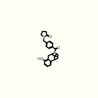 CC1(C)C2Cc3c(O)cccc3[C@]1(C)CCN2C(=O)c1ccc(CN2CCCC2=O)cc1